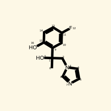 CC(O)(Cn1ccnc1)c1cc(F)ccc1O